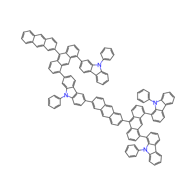 c1ccc(-n2c3ccccc3c3ccc(-c4cccc5c(-c6ccc7cc8ccccc8cc7c6)c6cccc(-c7ccc8c9cc(-c%10ccc%11cc%12cc(-c%13c%14cccc(-c%15cccc%16c%17ccccc%17n(-c%17ccccc%17)c%15%16)c%14cc%14c(-c%15cccc%16c%17ccccc%17n(-c%17ccccc%17)c%15%16)cccc%13%14)ccc%12cc%11c%10)ccc9n(-c9ccccc9)c8c7)c6cc45)cc32)cc1